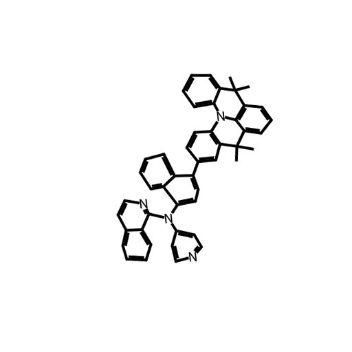 CC1(C)c2ccccc2N2c3ccc(-c4ccc(N(c5ccncc5)c5nccc6ccccc56)c5ccccc45)cc3C(C)(C)c3cccc1c32